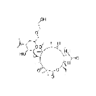 CC[C@H]1OC(=O)[C@@](C)(F)C(=O)[C@H](C)[C@@H](O[C@@H]2OC(COCCO)CC(N(C)C)C2O)[C@](C)(OC)C[C@@H](C)C(=O)[C@H](C)[C@H]2NC(=O)O[C@@]21C